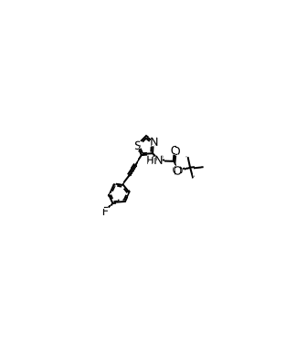 CC(C)(C)OC(=O)Nc1ncsc1C#Cc1ccc(F)cc1